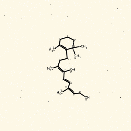 CC(CCC1=C(C)CCCC1(C)C)=C(O)C=C/C(C)=C\CO